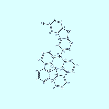 Ic1ccc2oc3ccc(N4c5ccccc5[Si](c5ccccc5)(c5ccccc5)c5ccccc54)cc3c2c1